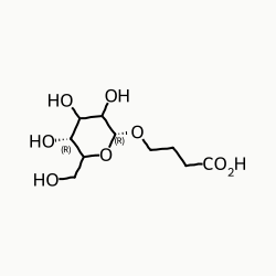 O=C(O)CCCO[C@@H]1OC(CO)[C@H](O)C(O)C1O